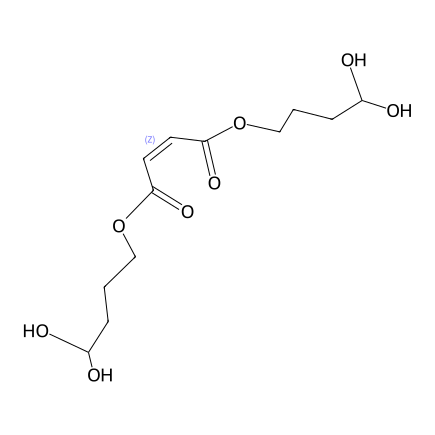 O=C(/C=C\C(=O)OCCCC(O)O)OCCCC(O)O